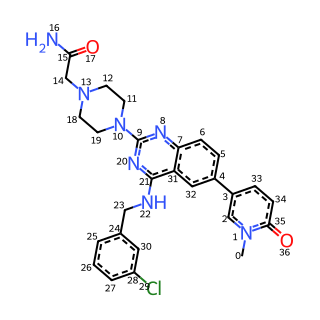 Cn1cc(-c2ccc3nc(N4CCN(CC(N)=O)CC4)nc(NCc4cccc(Cl)c4)c3c2)ccc1=O